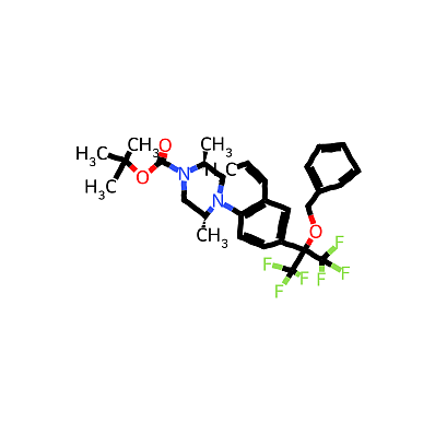 C/C=C\c1cc(C(OCc2ccccc2)(C(F)(F)F)C(F)(F)F)ccc1N1C[C@H](C)N(C(=O)OC(C)(C)C)C[C@H]1C